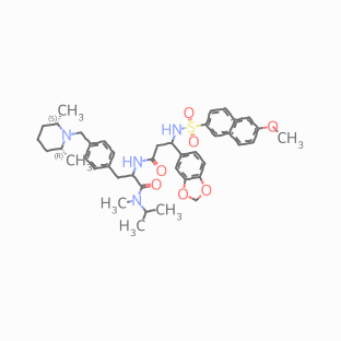 COc1ccc2cc(S(=O)(=O)NC(CC(=O)NC(Cc3ccc(CN4[C@H](C)CCC[C@@H]4C)cc3)C(=O)N(C)C(C)C)c3ccc4c(c3)OCO4)ccc2c1